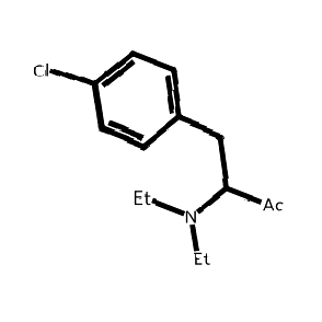 CCN(CC)C(Cc1ccc(Cl)cc1)C(C)=O